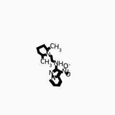 CC1CCCC(C)N1CCNc1nn2ccccc2c1[N+](=O)[O-]